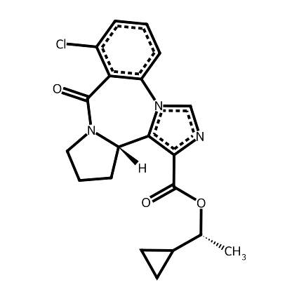 C[C@@H](OC(=O)c1ncn2c1[C@@H]1CCCN1C(=O)c1c(Cl)cccc1-2)C1CC1